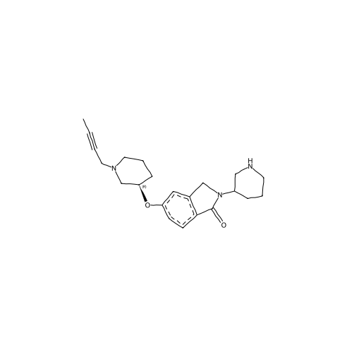 CC#CCN1CCC[C@@H](Oc2ccc3c(c2)CN(C2CCCNC2)C3=O)C1